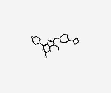 CCn1c(CN2CCC(N3CCC3)CC2)nc2c(N3CCOCC3)nc(Cl)nc21